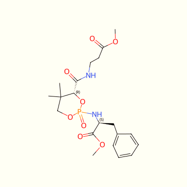 COC(=O)CCNC(=O)[C@@H]1OP(=O)(N[C@@H](Cc2ccccc2)C(=O)OC)OCC1(C)C